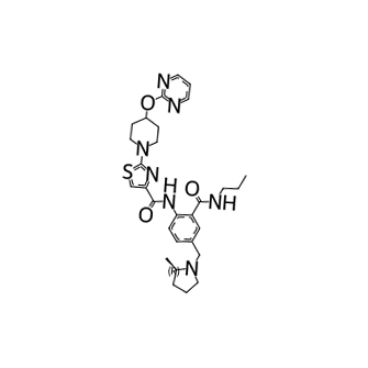 CCCNC(=O)c1cc(CN2CCC[C@H]2C)ccc1NC(=O)c1csc(N2CCC(Oc3ncccn3)CC2)n1